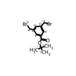 CC(C)(C)OC(=O)c1cc(CBr)cc(CBr)c1